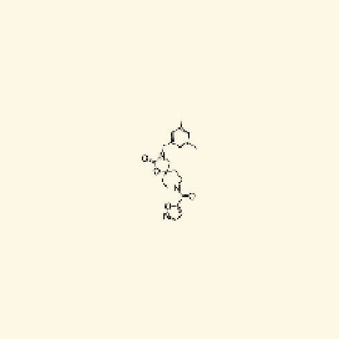 Cc1cc(C)cc(CN2CC3(CCN(C(=O)c4ccno4)CC3)OC2=O)c1